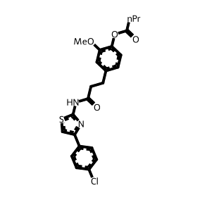 CCCC(=O)Oc1ccc(CCC(=O)Nc2nc(-c3ccc(Cl)cc3)cs2)cc1OC